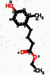 CCOC(=O)CCCc1ccc(O)cc1C